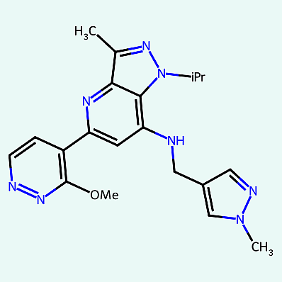 COc1nnccc1-c1cc(NCc2cnn(C)c2)c2c(n1)c(C)nn2C(C)C